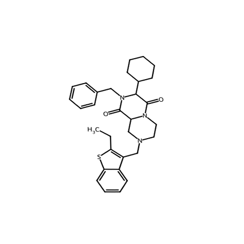 CCc1sc2ccccc2c1CN1CCN2C(=O)C(C3CCCCC3)N(Cc3ccccc3)C(=O)C2C1